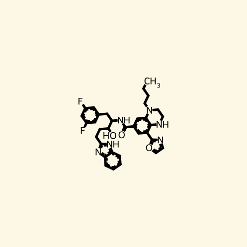 CCCCN1CCNc2c(-c3ncco3)cc(C(=O)NC(Cc3cc(F)cc(F)c3)C(O)CCc3nc4ccccc4[nH]3)cc21